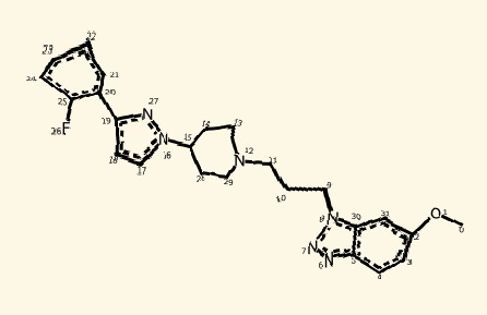 COc1ccc2nnn(CCCN3CCC(n4ccc(-c5ccccc5F)n4)CC3)c2c1